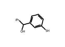 CC(C)C(O)c1cccc(S)c1